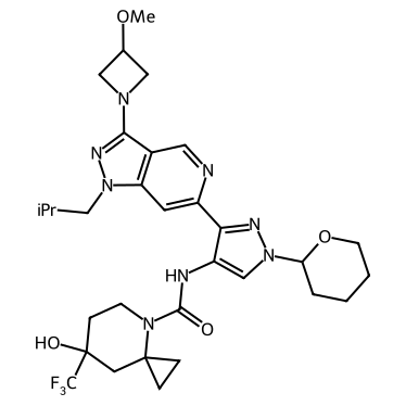 COC1CN(c2nn(CC(C)C)c3cc(-c4nn(C5CCCCO5)cc4NC(=O)N4CCC(O)(C(F)(F)F)CC45CC5)ncc23)C1